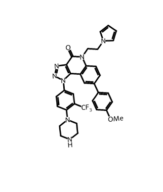 COc1ccc(-c2ccc3c(c2)c2c(nnn2-c2ccc(N4CCNCC4)c(C(F)(F)F)c2)c(=O)n3CCn2cccc2)cc1